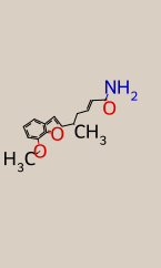 COc1cccc2cc(C(C)C/C=C/C(N)=O)oc12